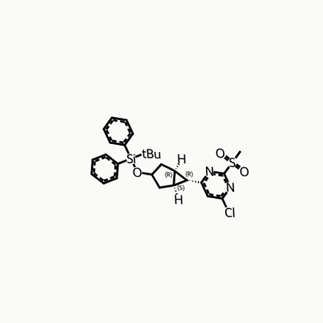 CC(C)(C)[Si](OC1C[C@@H]2[C@H](C1)[C@H]2c1cc(Cl)nc(S(C)(=O)=O)n1)(c1ccccc1)c1ccccc1